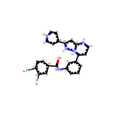 O=C(Nc1cccc(-c2ccnc3cc(-c4ccncc4)nn23)c1)c1ccc(F)c(F)c1